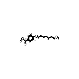 COCCCCCCCOc1ccc(C(=O)OC)cc1